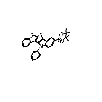 CC1(C)OB(c2ccc3c(c2)c2sc4sc5ccccc5c4c2n3-c2ccccc2)OC1(C)C